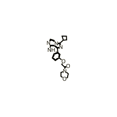 Nc1nccn2c(C3CCC3)nc(-c3cccc(OCC(=O)N4CCOCC4)c3)c12